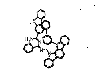 N/C(=N\C(=N/Cn1c2ccccc2c2ccc3c4ccccc4n(-c4cccc(-c5ccccc5)c4)c3c21)c1ccccc1)c1ccc2c(c1)SC1CC=CC=C21